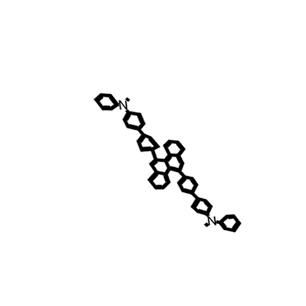 CN(c1ccccc1)c1ccc(-c2ccc(-c3cc4ccccc4c4c(-c5ccc(-c6ccc(N(C)c7ccccc7)cc6)cc5)cc5ccccc5c34)cc2)cc1